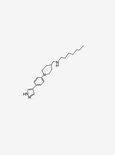 CCCCCCCNCC1CCN(c2ccc(-c3cn[nH]c3)cc2)CC1